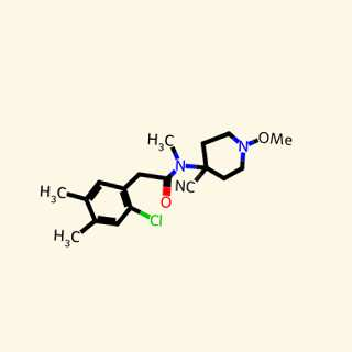 CON1CCC(C#N)(N(C)C(=O)Cc2cc(C)c(C)cc2Cl)CC1